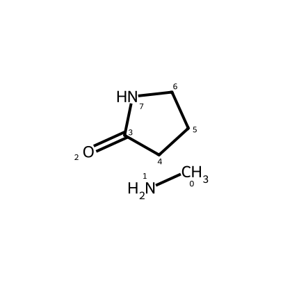 CN.O=C1CCCN1